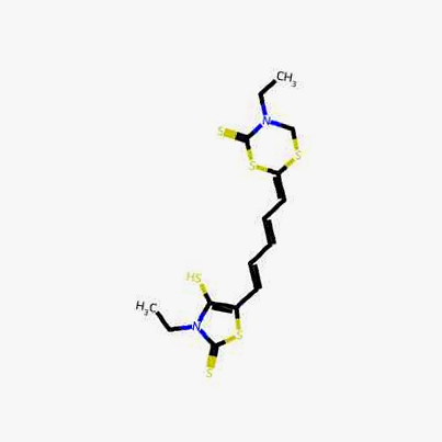 CCN1CS/C(=C/C=C/C=C/c2sc(=S)n(CC)c2S)SC1=S